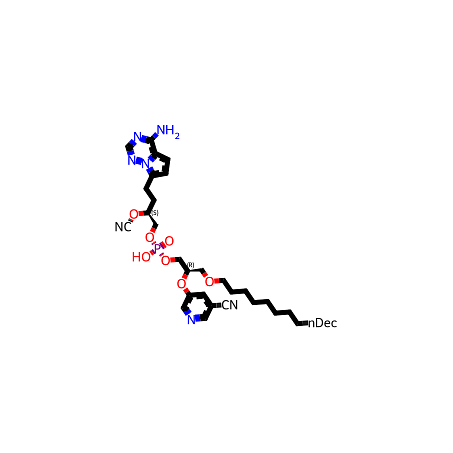 CCCCCCCCCCCCCCCCCCOC[C@H](COP(=O)(O)OC[C@H](CCc1ccc2c(N)ncnn12)OC#N)Oc1cncc(C#N)c1